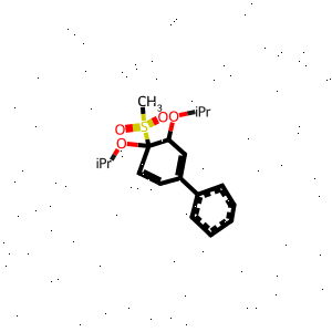 CC(C)OC1C=C(c2ccccc2)C=CC1(OC(C)C)S(C)(=O)=O